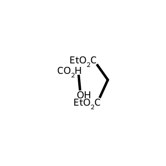 CCOC(=O)CC(=O)OCC.O=C(O)O